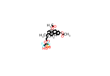 CC(=O)O[C@@H]1CC[C@@]2(C)C(C1)C[C@@H](OC(C)=O)[C@H]1[C@@H]3CC[C@H]([C@H](C)CCC(=O)OC(C(F)(F)F)C(F)(F)S(=O)(=O)O)[C@@]3(C)CC[C@@H]12